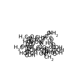 C=C1C[C@H]2C(O)N(C(=O)OCc3ccc(O[C@@H]4O[C@H](C(=O)O)[C@@H](O)[C@H](O)[C@H]4O)c(C(=O)NCCOC)c3)c3cc(OCc4cc(COc5cc6c(cc5OC)C(=O)N5CC(=C)C[C@H]5C(O)N6C(=O)OCc5ccc(O[C@@H]6O[C@H](C(=O)O)[C@@H](O)[C@H](O)[C@H]6O)c(C(=O)NCCOC)c5)n(CCOCCOCCON)n4)c(OC)cc3C(=O)N2C1